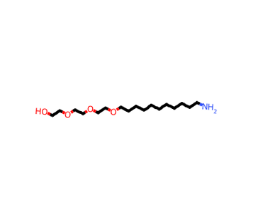 NCCCCCCCCCCCOCCOCCOCCO